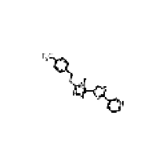 Cn1c(SCc2ccc(C(F)(F)F)cc2)nnc1C1CSC(c2cccnc2)=N1